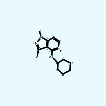 Cn1nc(I)c2c(OC3CCCCC3)nccc21